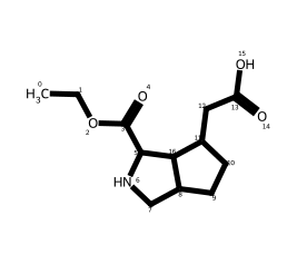 CCOC(=O)C1NCC2CCC(CC(=O)O)C21